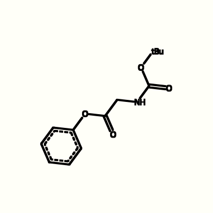 CC(C)(C)OC(=O)NCC(=O)Oc1ccccc1